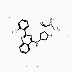 CCN(C)C(=O)[C@H]1C[C@H](Nc2nc(-c3ccccc3O)nc3ccccc23)CN1